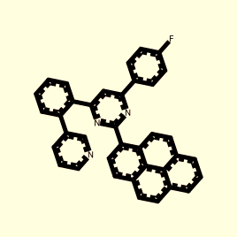 Fc1ccc(-c2cc(-c3ccccc3-c3cccnc3)nc(-c3ccc4ccc5cccc6ccc3c4c56)n2)cc1